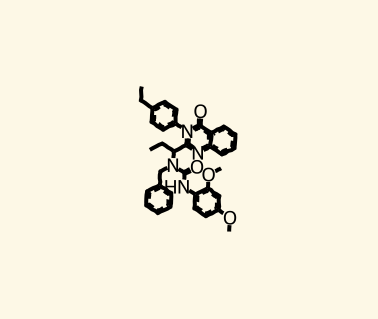 CCc1ccc(-n2c(C(CC)N(Cc3ccccc3)C(=O)Nc3ccc(OC)cc3OC)nc3ccccc3c2=O)cc1